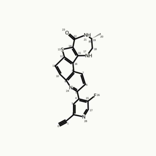 C#Cc1cc(-c2ccc3c(ccc4sc5c(c43)NC[C@@H](C)NC5=O)n2)c(F)cn1